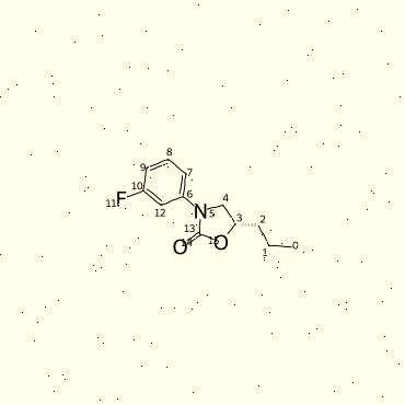 CCC[C@H]1CN(c2cccc(F)c2)C(=O)O1